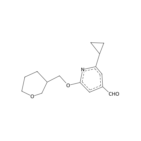 O=Cc1cc(OCC2CCCOC2)nc(C2CC2)c1